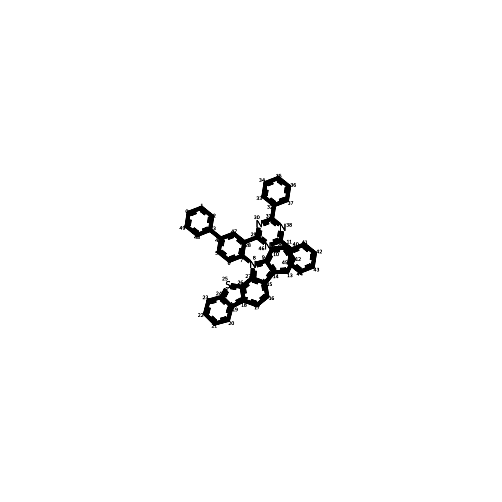 c1ccc(-c2ccc(-n3c4ccccc4c4ccc5c6ccccc6sc5c43)c(-c3nc(-c4ccccc4)nc(-c4ccccc4)n3)c2)cc1